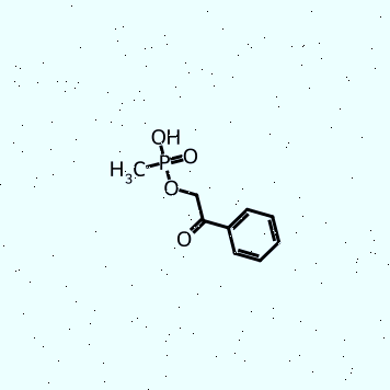 CP(=O)(O)OCC(=O)c1ccccc1